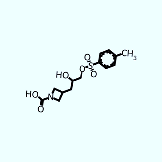 Cc1ccc(S(=O)(=O)OCC(O)CC2CN(C(=O)O)C2)cc1